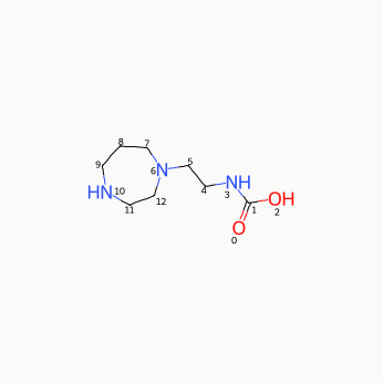 O=C(O)NCCN1CCCNCC1